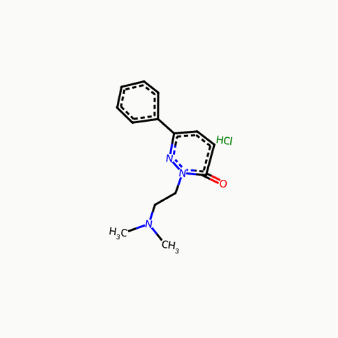 CN(C)CCn1nc(-c2ccccc2)ccc1=O.Cl